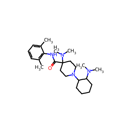 Cc1cccc(C)c1NC(=O)C1(N(C)C)CCN(C2CCCCC2N(C)C)CC1